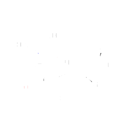 CC(OC1C[C@@H](O)C[C@@H]2CC[C@@H]3[C@H](CC[C@]4(C)C=CC[C@@H]34)[C@@]12C)N(C)C